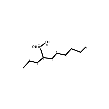 CCCCCCC(CCC)[PH](=O)O